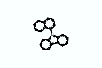 [c]1cccc2c3ccccc3n(-c3cccc4ccccc34)c12